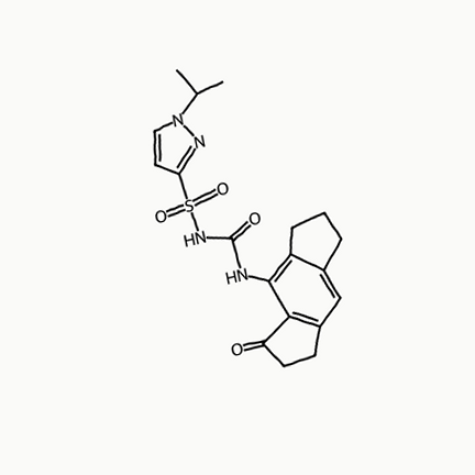 CC(C)n1ccc(S(=O)(=O)NC(=O)Nc2c3c(cc4c2C(=O)CC4)CCC3)n1